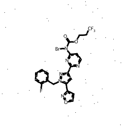 O=C(OCCC(F)(F)F)N(Br)c1ccnc(-c2cc(-c3ccon3)n(Cc3ccccc3F)n2)n1